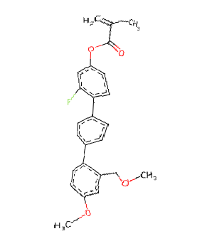 C=C(C)C(=O)Oc1ccc(-c2ccc(-c3ccc(OC)cc3COC)cc2)c(F)c1